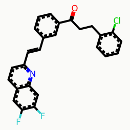 O=C(CCc1ccccc1Cl)c1cccc(C=Cc2ccc3cc(F)c(F)cc3n2)c1